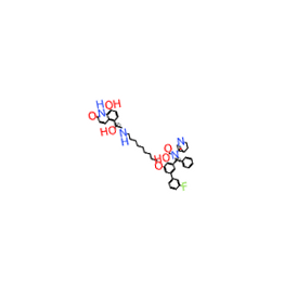 O=C(O)N(C1CN2CCC1CC2)[C@H](c1ccccc1)c1cc(OCCCCCCCCCNC[C@H](O)c2ccc(O)c3[nH]c(=O)ccc23)cc(-c2cccc(F)c2)c1